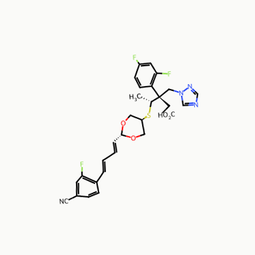 C[C@@H](S[C@H]1CO[C@H](C=CC=Cc2ccc(C#N)cc2F)OC1)[C@@](CC(=O)O)(Cn1cncn1)c1ccc(F)cc1F